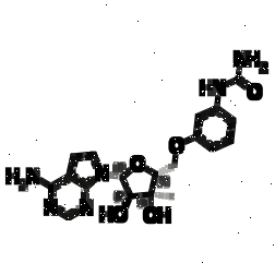 C[C@@]1(O)[C@@H](COc2cccc(NC(N)=O)c2)O[C@@H](n2ccc3c(N)ncnc32)[C@@H]1O